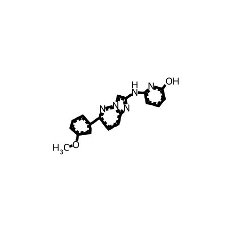 COc1cccc(-c2ccc3nc(Nc4cccc(O)n4)cn3n2)c1